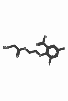 CCC(=O)c1cc(I)cc(I)c1OCCOC(=O)CSC